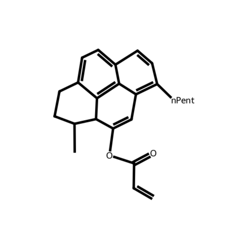 C=CC(=O)OC1=Cc2c(CCCCC)ccc3ccc4c(c23)C1C(C)CC4